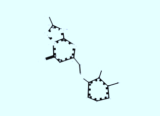 CCOC(=O)c1c(Cl)cccc1OCc1cc(=O)n2nc(C)nc2[nH]1